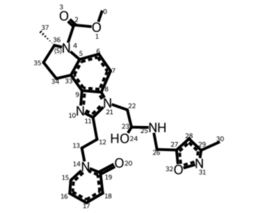 COC(=O)N1c2ccc3c(nc(CCn4ccccc4=O)n3CC(O)NCc3cc(C)no3)c2CC[C@@H]1C